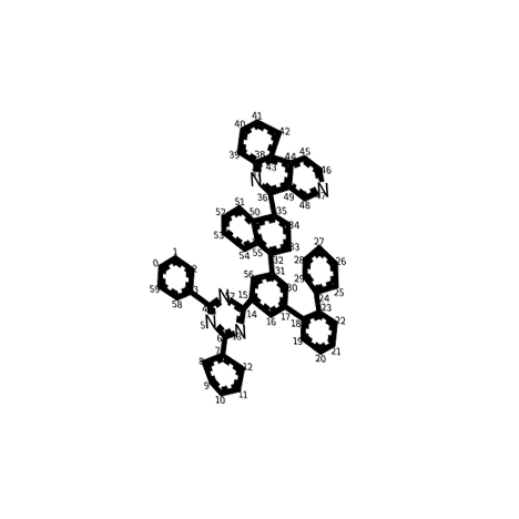 c1ccc(-c2nc(-c3ccccc3)nc(-c3cc(-c4ccccc4-c4ccccc4)cc(-c4ccc(-c5nc6ccccc6c6ccncc56)c5ccccc45)c3)n2)cc1